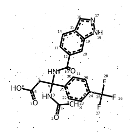 CC(=O)NC(CC(=O)O)(NC(=O)c1ccc2cn[nH]c2c1)c1ccc(C(F)(F)F)cc1